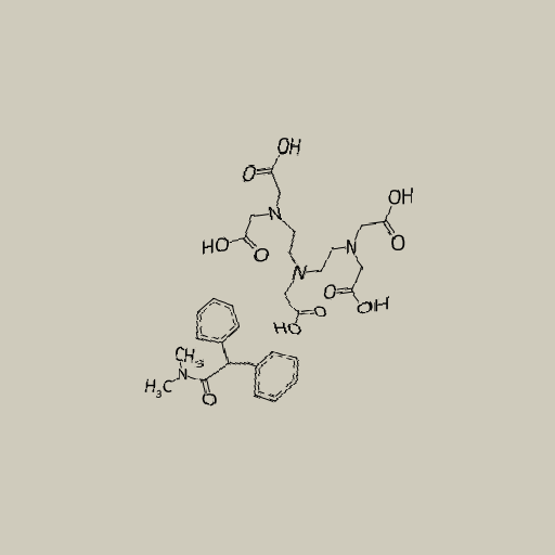 CN(C)C(=O)C(c1ccccc1)c1ccccc1.O=C(O)CN(CCN(CC(=O)O)CC(=O)O)CCN(CC(=O)O)CC(=O)O